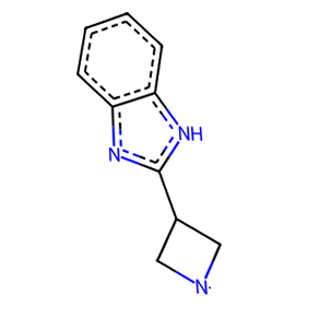 c1ccc2[nH]c(C3C[N]C3)nc2c1